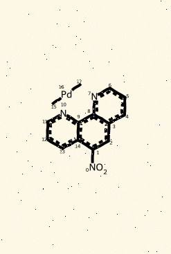 O=[N+]([O-])c1cc2cccnc2c2ncccc12.[CH3][Pd][CH3]